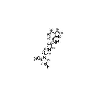 N#C[C@@H]1C[C@H](F)CN1C(=O)CN1CCC(Nc2cncc3ccoc23)C1